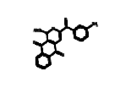 COC1OC(C(=O)c2cccc(N)c2)=CC2=C1C(=O)c1ccccc1C2=O